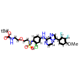 COc1ccc(-c2cnc3c(Nc4ccc(N(CCOCCNC(=O)OC(C)(C)C)[SH](=O)=O)c(Cl)c4)nccn23)c(F)c1F